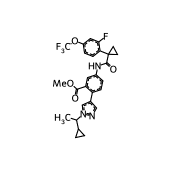 COC(=O)c1cc(NC(=O)C2(c3ccc(OC(F)(F)F)cc3F)CC2)ccc1-c1cnn(C(C)C2CC2)c1